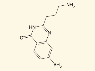 Bc1ccc2c(=O)[nH]c(CCCN)nc2c1